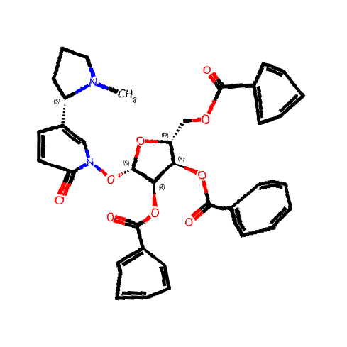 CN1CCC[C@H]1c1ccc(=O)n(O[C@@H]2O[C@H](COC(=O)c3ccccc3)[C@@H](OC(=O)c3ccccc3)[C@H]2OC(=O)c2ccccc2)c1